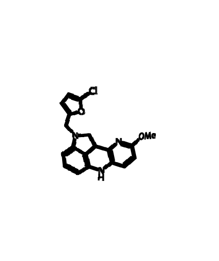 COc1ccc2c(n1)C1CN(Cc3ccc(Cl)o3)c3cccc(c31)N2